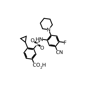 N#Cc1cc(NS(=O)(=O)c2cc(C(=O)O)ccc2C2CC2)c(N2CCCCC2)cc1F